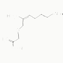 C=C(COCC(=CCCCCCCCCCCCC)C(=O)O)C(=O)O